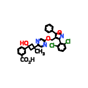 CC1(c2cnc(OCc3c(-c4c(Cl)cccc4Cl)noc3-c3ccccc3)cn2)CC(O)(c2cccc(C(=O)O)c2)C1